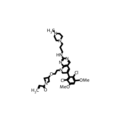 C=CC(=O)N1CC(OCCN2CC(c3c(Cl)c(OC)cc(OC)c3Cl)=Cc3cnc(NCCCN4CCN(C)CC4)nc32)C1